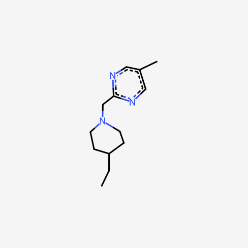 CCC1CCN(Cc2ncc(C)cn2)CC1